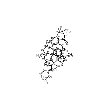 C=C(/C=C(\C=C/C)OC)[C@]1(CC)C2=C(CC(C)(Cc3nc4c(s3)[C@@](CC)(c3cccc(OC)c3)C3=C(CC(C)(C)CC3=O)N4)CC2=O)Nc2ncsc21